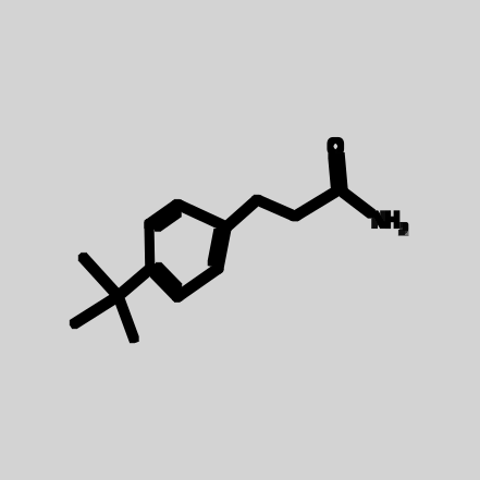 CC(C)(C)c1ccc(CCC(N)=O)cc1